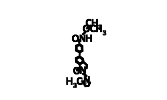 CC(C)OCCNC(=O)c1ccc(-c2ccc3c(c2)CCN(CCN2CCC[C@H]2C)C3=O)cc1